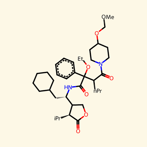 CCCC(C(=O)N1CCC(OCOC)CC1)C(OCC)(C(=O)N[C@@H](CC1CCCCC1)C1COC(=O)[C@H]1C(C)C)c1ccccc1